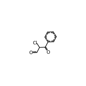 O=CC(Cl)C(=O)c1ccccc1